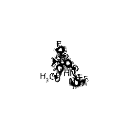 CC(=O)N1CCC2(CC1)c1cc(C(=O)NCc3ncccc3C(F)(F)F)ccc1N(S(=O)(=O)c1ccc(F)cc1)C2C1CC1